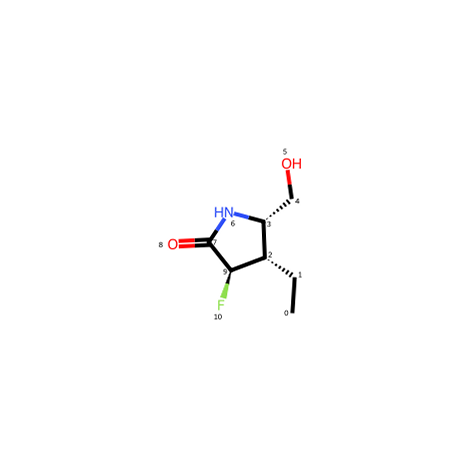 CC[C@H]1[C@@H](CO)NC(=O)[C@@H]1F